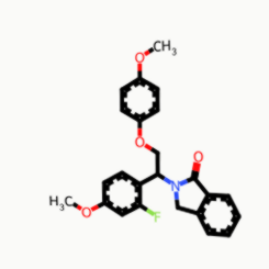 COc1ccc(OCC(c2ccc(OC)cc2F)N2Cc3ccccc3C2=O)cc1